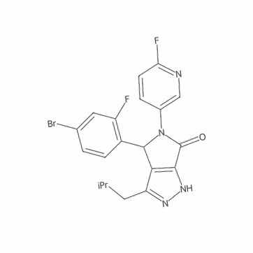 CC(C)Cc1n[nH]c2c1C(c1ccc(Br)cc1F)N(c1ccc(F)nc1)C2=O